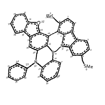 CSc1ccc2c3ccc(SC)c4c3n(c2c1)B1c2ccccc2N(c2ccccc2)c2cc3c(oc5ccccc53)c-4c21